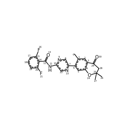 Cc1cc2c(cc1-c1cnc(NC(=O)c3c(F)cccc3F)cn1)OC(C)(C)CC2=O